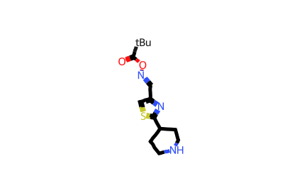 CC(C)(C)C(=O)O/N=C/c1csc(C2CCNCC2)n1